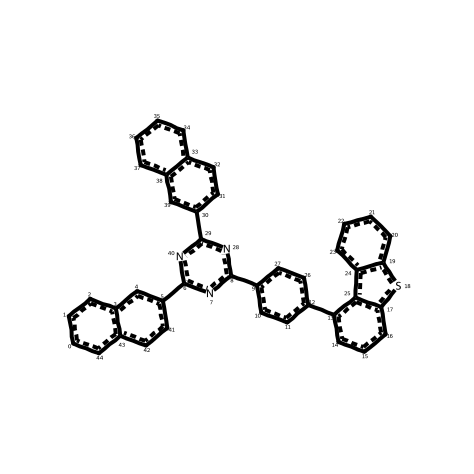 c1ccc2cc(-c3nc(-c4ccc(-c5cccc6sc7ccccc7c56)cc4)nc(-c4ccc5ccccc5c4)n3)ccc2c1